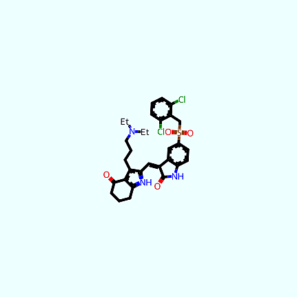 CCN(CC)CCCc1c(/C=C2\C(=O)Nc3ccc(S(=O)(=O)Cc4c(Cl)cccc4Cl)cc32)[nH]c2c1C(=O)CCC2